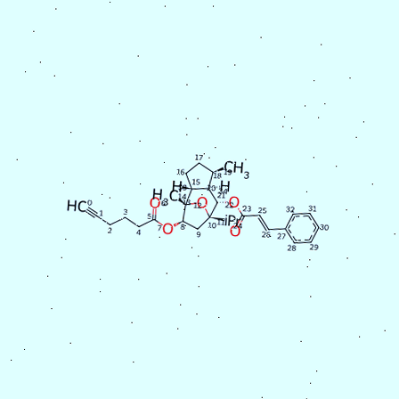 C#CCCCC(=O)O[C@@H]1C[C@]2(C(C)C)O[C@@]1(C)[C@@H]1CC[C@@H](C)[C@H]1[C@@H]2OC(=O)/C=C/c1ccccc1